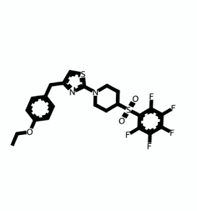 CCOc1ccc(Cc2csc(N3CCC(S(=O)(=O)c4c(F)c(F)c(F)c(F)c4F)CC3)n2)cc1